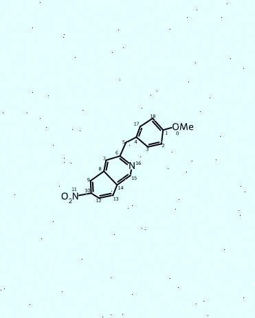 COc1ccc(Cc2cc3cc([N+](=O)[O-])ccc3cn2)cc1